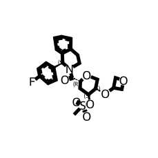 CS(=O)(=O)O[C@H]1C[C@H](C(=O)N2CCc3ccccc3[C@@H]2c2ccc(F)cc2)OC[C@@H]1OC1COC1